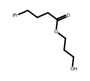 CC(C)CCCC(=O)OCCCO